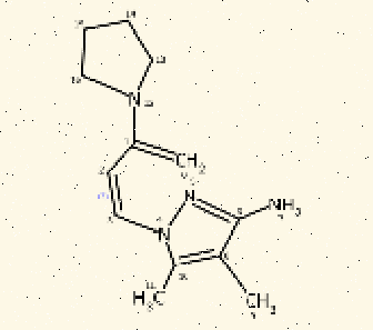 C=C(/C=C\n1nc(N)c(C)c1C)N1CCCC1